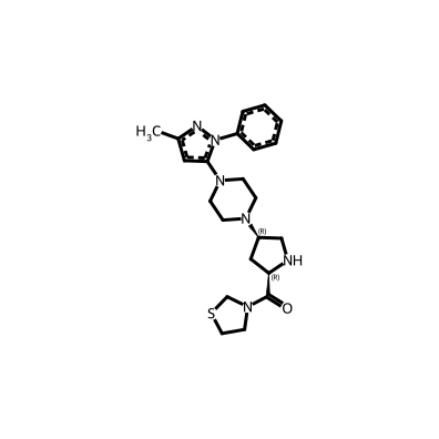 Cc1cc(N2CCN([C@H]3CN[C@@H](C(=O)N4CCSC4)C3)CC2)n(-c2ccccc2)n1